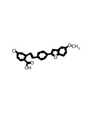 COc1ccc2oc(-c3ccc(C=Cc4cc(Cl)ccc4C(=O)O)cc3)cc2c1